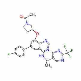 CC(=O)N1CC[C@H](Oc2cc(-c3ccc(F)cc3)cc3c(N[C@H](C)c4cnc(C(F)(F)F)nc4)ncnc23)C1